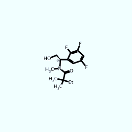 CCC(C)(C)C(=O)N(C)[C@@H](CO)c1cc(F)cc(F)c1F